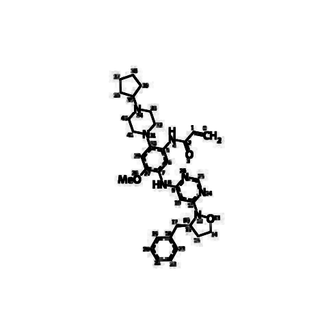 C=CC(=O)Nc1cc(Nc2cc(N3OCC[C@H]3Cc3ccccc3)ncn2)c(OC)cc1N1CCN(C2CCCC2)CC1